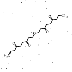 C=CCC(=O)CCC(=O)CCOCCC(=O)CCC(=O)CC=C